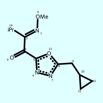 CON=C(C(=O)c1nnc(CC2CC2)o1)C(C)C